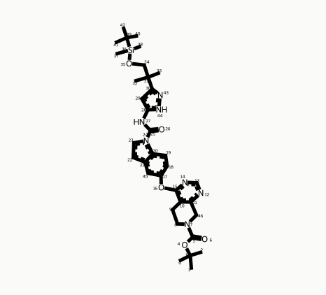 CC(C)(C)OC(=O)N1CCc2c(ncnc2Oc2ccc3c(ccn3C(=O)Nc3cc(C(C)(C)CO[Si](C)(C)C(C)(C)C)n[nH]3)c2)C1